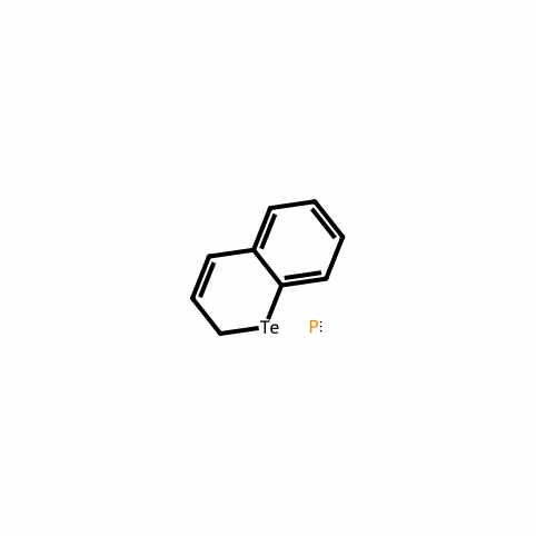 C1=Cc2ccccc2[Te]C1.[P]